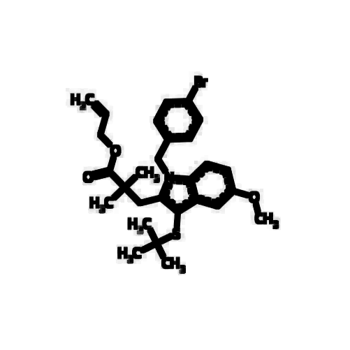 C=CCOC(=O)C(C)(C)Cc1c(SC(C)(C)C)c2cc(OC)ccc2n1Cc1ccc(Br)cc1